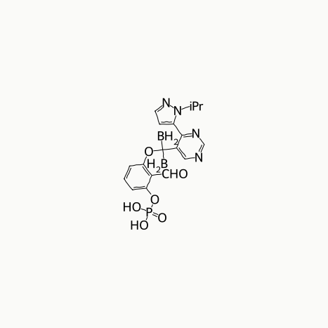 BC(B)(Oc1cccc(OP(=O)(O)O)c1C=O)c1cncnc1-c1ccnn1C(C)C